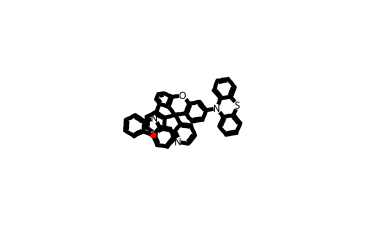 c1ccc2c(c1)Sc1ccccc1N2c1ccc2c(c1)Oc1cccc(-n3c4ccccc4c4ccccc43)c1C21c2cccnc2-c2ncccc21